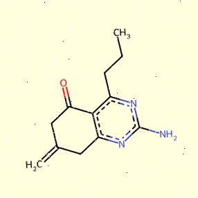 C=C1CC(=O)c2c(CCC)nc(N)nc2C1